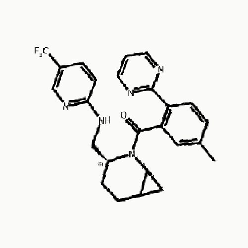 Cc1ccc(-c2ncccn2)c(C(=O)N2C3CC3CC[C@H]2CNc2ccc(C(F)(F)F)cn2)c1